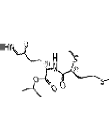 CSCC[C@H](SC)C(=O)N[C@@H](CCC(=O)C=N)C(=O)OC(C)C